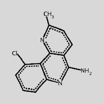 Cc1ccc2c(N)nc3cccc(Cl)c3c2n1